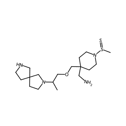 CC(COCC1(CN)CCN(S(C)=S)CC1)N1CCC2(CCNC2)C1